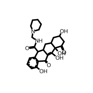 O=C1C2=C(O)C3(O)C(=O)CC(O)CC3CC2C(C(=O)NCN2CCCCC2)c2cccc(O)c21